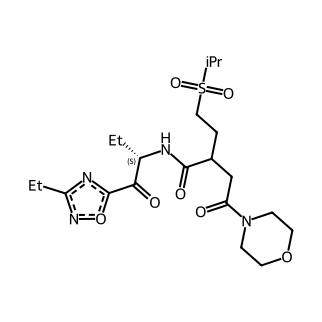 CCc1noc(C(=O)[C@H](CC)NC(=O)C(CCS(=O)(=O)C(C)C)CC(=O)N2CCOCC2)n1